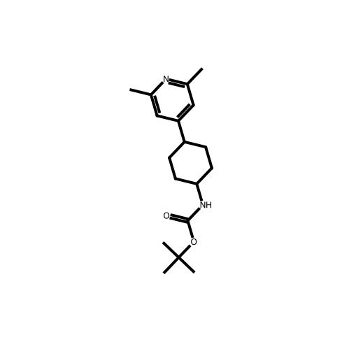 Cc1cc(C2CCC(NC(=O)OC(C)(C)C)CC2)cc(C)n1